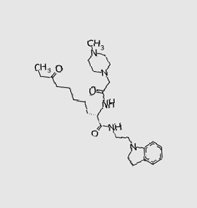 CCC(=O)CCCCC[C@H](NC(=O)CN1CCN(C)CC1)C(=O)NCCN1CCc2ccccc21